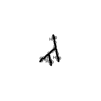 CCOC(=O)NCCOCCOCC(COCCOCCNC(=O)OCC)OCCOCCOC(COCCONC(=O)OCC)COCCONC(=O)OCC